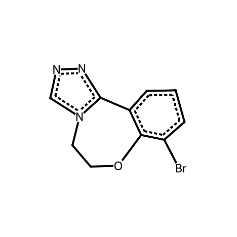 Brc1cccc2c1OCCn1cnnc1-2